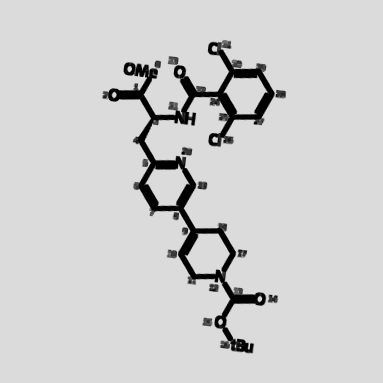 COC(=O)[C@H](Cc1ccc(C2=CCN(C(=O)OC(C)(C)C)CC2)cn1)NC(=O)c1c(Cl)cccc1Cl